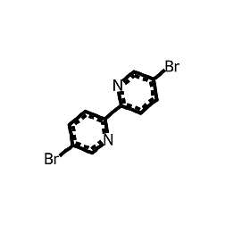 Brc1ccc(-c2ccc(Br)cn2)nc1